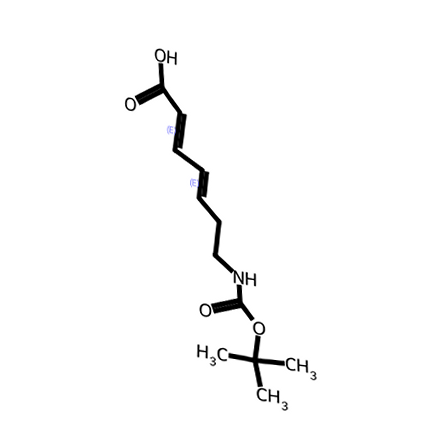 CC(C)(C)OC(=O)NCC/C=C/C=C/C(=O)O